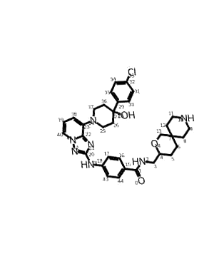 O=C(NCC1CCC2(CCNCC2)CO1)c1ccc(Nc2nc3c(N4CCC(O)(c5ccc(Cl)cc5)CC4)cccn3n2)cc1